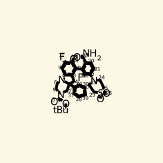 CC(C)(C)OC(=O)N1CCN2c3cc(F)c(Cl)c(-c4c(C(N)=O)ccc(N5CCS(=O)(=O)CC5)c4F)c3CC2(c2ccccc2)C1